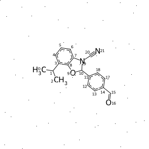 CC(C)c1cccc2c1OC(c1ccc(C=O)cc1)N2C#N